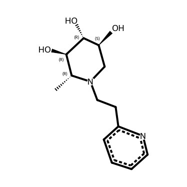 C[C@@H]1[C@@H](O)[C@H](O)[C@@H](O)CN1CCc1ccccn1